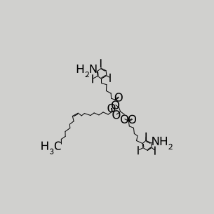 CCCCCCCC/C=C\CCCCCCCC(=O)OC(COC(=O)CCCCCc1c(I)cc(I)c(N)c1I)COC(=O)CCCCCc1c(I)cc(I)c(N)c1I